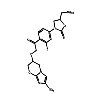 CC(=O)NCC1CN(c2ccc(C(=O)COC3COc4nc([N+](=O)[O-])cn4C3)c(F)c2)C(=O)O1